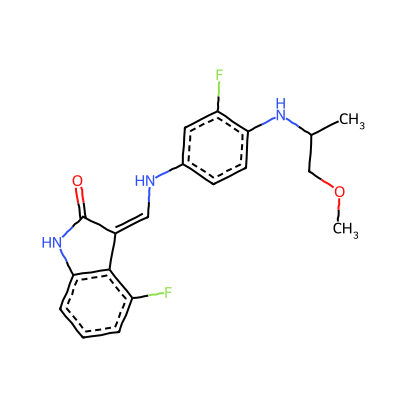 COCC(C)Nc1ccc(NC=C2C(=O)Nc3cccc(F)c32)cc1F